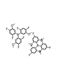 COc1cc(B(c2cc(OC)c(F)cc2F)c2cc(OC)c(F)cc2F)c(F)cc1F.COc1cc(F)cc(F)c1B(c1c(F)cc(F)cc1OC)c1c(F)cc(F)cc1OC